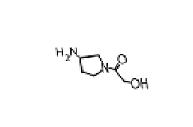 N[C@H]1CCN(C(=O)CO)C1